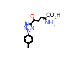 Cc1ccc(-n2nnc(C(=O)CC[C@H](N)C(=O)O)n2)cc1